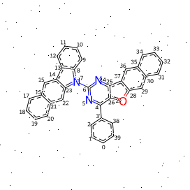 c1ccc(-c2nc(-n3c4ccccc4c4cc5ccccc5cc43)nc3c2oc2cc4ccccc4cc23)cc1